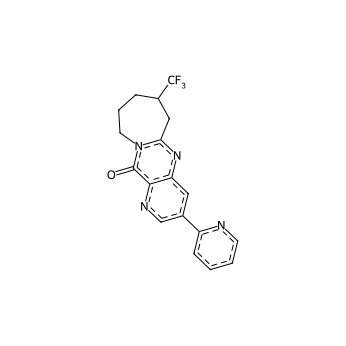 O=c1c2ncc(-c3ccccn3)cc2nc2n1CCCC(C(F)(F)F)C2